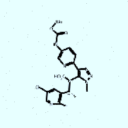 C[C@H](c1cc(Cl)cnc1F)N(C(=O)O)c1c(-c2ccc(NC(=O)OC(C)(C)C)cn2)nnn1C